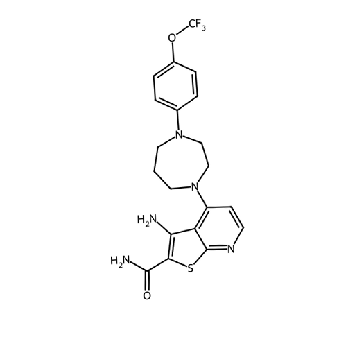 NC(=O)c1sc2nccc(N3CCCN(c4ccc(OC(F)(F)F)cc4)CC3)c2c1N